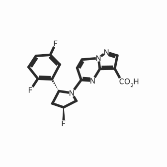 O=C(O)c1cnn2ccc(N3C[C@@H](F)C[C@@H]3c3cc(F)ccc3F)nc12